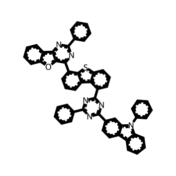 c1ccc(-c2nc(-c3ccc4c5ccccc5n(-c5ccccc5)c4c3)nc(-c3cccc4sc5c(-c6nc(-c7ccccc7)nc7c6oc6ccccc67)cccc5c34)n2)cc1